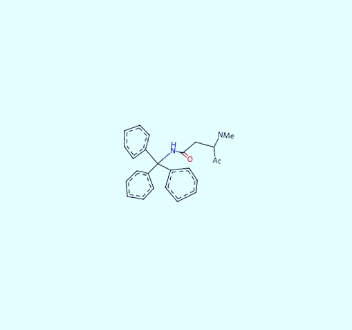 CNC(CC(=O)NC(c1ccccc1)(c1ccccc1)c1ccccc1)C(C)=O